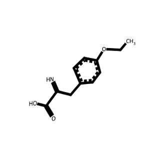 CCOc1ccc(CC(=N)C(=O)O)cc1